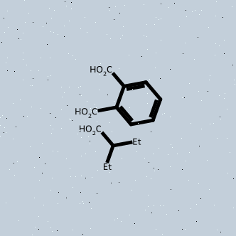 CCC(CC)C(=O)O.O=C(O)c1ccccc1C(=O)O